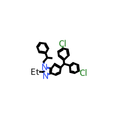 CCc1nc2ccc(C(c3ccc(Cl)cc3)c3ccc(Cl)cc3)cc2n1CC(C)c1ccccc1